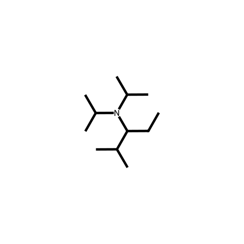 CCC(C(C)C)N(C(C)C)C(C)C